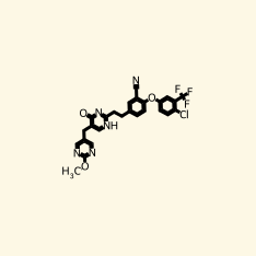 COc1ncc(Cc2c[nH]c(CCc3ccc(Oc4ccc(Cl)c(C(F)(F)F)c4)c(C#N)c3)nc2=O)cn1